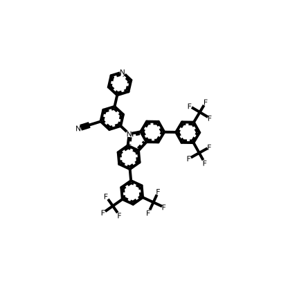 N#Cc1cc(-c2ccncc2)cc(-n2c3ccc(-c4cc(C(F)(F)F)cc(C(F)(F)F)c4)cc3c3cc(-c4cc(C(F)(F)F)cc(C(F)(F)F)c4)ccc32)c1